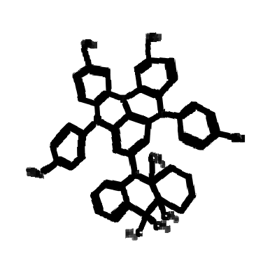 CC(C)(C)c1ccc(N2c3ccc(C(C)(C)C)cc3B3c4cc(C(C)(C)C)ccc4N(c4ccc(C(C)(C)C)cc4)c4cc(N5c6ccccc6C(C)(C)C6(C)CCCCC56C)cc2c43)cc1